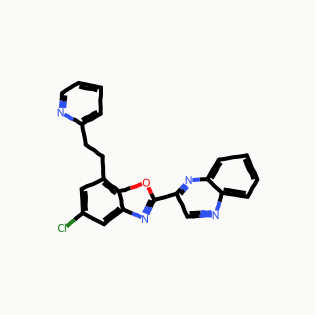 Clc1cc(CCc2ccccn2)c2oc(-c3cnc4ccccc4n3)nc2c1